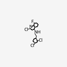 Fc1cccc2c(NCCc3ccc(Cl)cc3Cl)cc(Cl)nc12